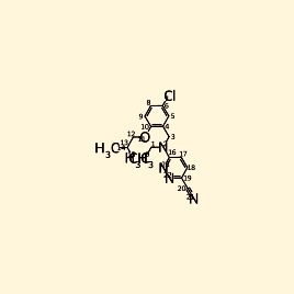 CCN(Cc1cc(Cl)ccc1OCC(C)C)c1ccc(C#N)nn1